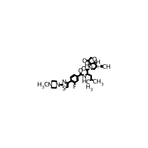 C#C[C@@H]1CN(C(=O)C(CC(C)C)NC(=O)c2ccc(-c3csc(N4CCN(C)CC4)n3)c(F)c2)[C@@H]2C(=O)CO[C@H]12